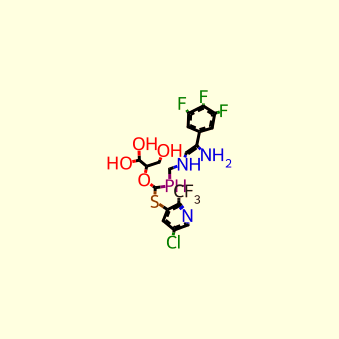 N/C(=C\NCPC(OC(CO)C(O)O)Sc1cc(Cl)cnc1C(F)(F)F)c1cc(F)c(F)c(F)c1